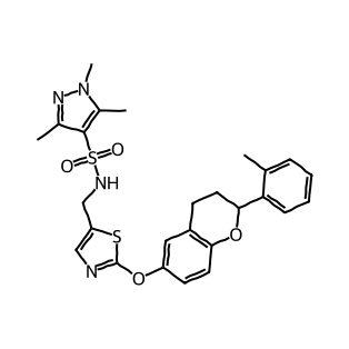 Cc1ccccc1C1CCc2cc(Oc3ncc(CNS(=O)(=O)c4c(C)nn(C)c4C)s3)ccc2O1